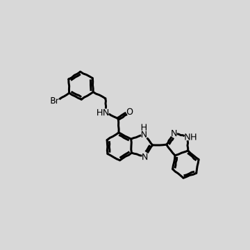 O=C(NCc1cccc(Br)c1)c1cccc2nc(-c3n[nH]c4ccccc34)[nH]c12